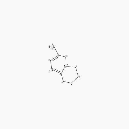 NC1=CN=C2CCCCN2C1